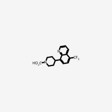 O=C(O)N1CCC(c2ccc(C(F)(F)F)c3cccnc23)CC1